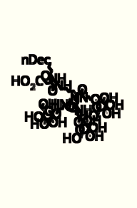 CCCCCCCCCCCCCC(=O)NC(CCC(=O)O)C(=O)NCCCC[C@@H](C(=O)NCCO[C@H]1O[C@H](CO)[C@@H](O)[C@H](O)[C@@H]1O)N(CC(=O)NCCO[C@H]1O[C@H](CO)[C@@H](O)[C@H](O)[C@@H]1O)CC(=O)NCCO[C@H]1O[C@H](CO)[C@@H](O)[C@H](O)[C@@H]1O